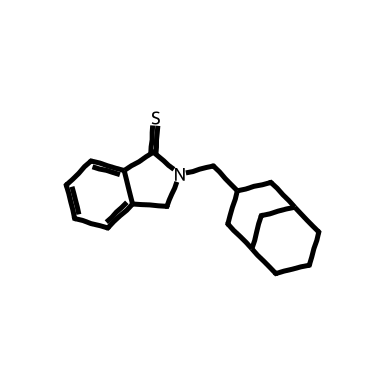 S=C1c2ccccc2CN1CC1CC2CCCC(C2)C1